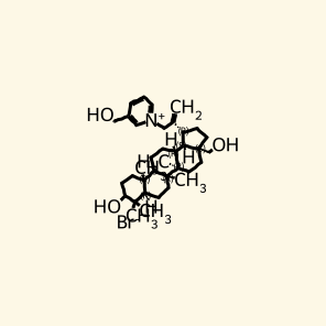 C=C(C[n+]1cccc(CO)c1)[C@@H]1CC[C@]2(CO)CC[C@]3(C)[C@H](CCC4[C@@]5(C)CCC(O)C(C)(C)[C@@H]5CC[C@]43C)[C@@H]12.[Br-]